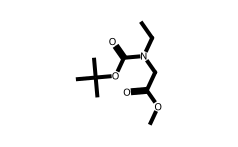 CCN(CC(=O)OC)C(=O)OC(C)(C)C